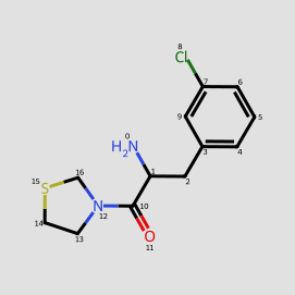 NC(Cc1cccc(Cl)c1)C(=O)N1CCSC1